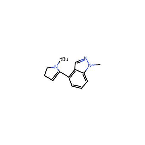 Cn1ncc2c(C3=CCCN3C(C)(C)C)cccc21